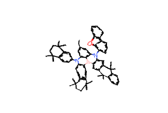 Cc1cc2c3c(c1)N(c1cccc4c1oc1ccccc14)c1cc4c(cc1B3c1cc3c(cc1N2c1ccc2c(c1)C(C)(C)CCC2(C)C)C(C)(C)CCC3(C)C)C(C)(C)c1ccccc1C4(C)C